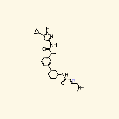 CC(C(=O)Nc1cc(C2CC2)[nH]n1)c1cccc(C2CCCC(NC(=O)/C=C/CN(C)C)C2)c1